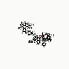 CC(=O)O[C@@]12CO[C@@H]1C[C@H](O)[C@@]1(C)C(=O)[C@H](O)C3=C(C)[C@@H](OC(=O)[C@H](OC(=O)CCC(=O)N4CCN(Cc5ccc(-n6c(O)nnc6-c6cc(C(C)C)c(O)cc6O)cc5F)CC4)[C@@H](NC(=O)OC(C)(C)C)c4ccccc4)C[C@@](O)([C@@H](OC(=O)c4ccccc4)[C@H]21)C3(C)C